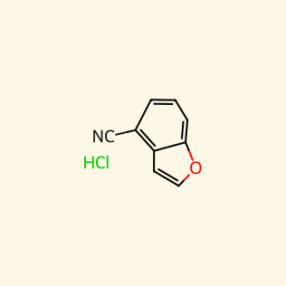 Cl.N#Cc1cccc2occc12